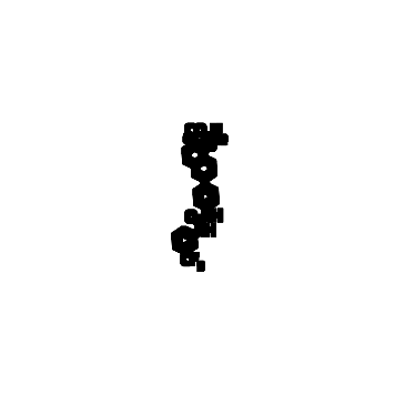 COC1(CC(=O)O)CCC2CC(c3ccc(NC(=O)Nc4cccc(C(F)(F)F)c4)cc3)CCC2C1=O